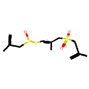 C=C(C)C[S+]([O-])S/C=C(\C)CS(=O)(=O)CC(=C)C